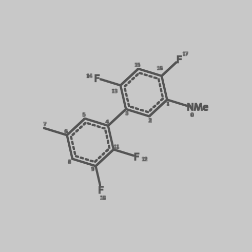 CNc1cc(-c2cc(C)cc(F)c2F)c(F)cc1F